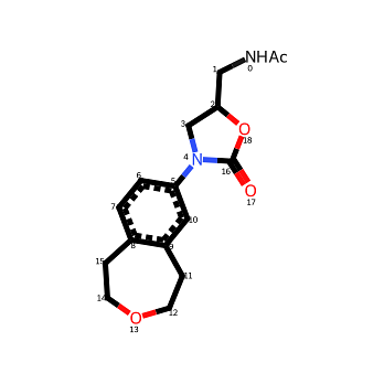 CC(=O)NCC1CN(c2ccc3c(c2)CCOCC3)C(=O)O1